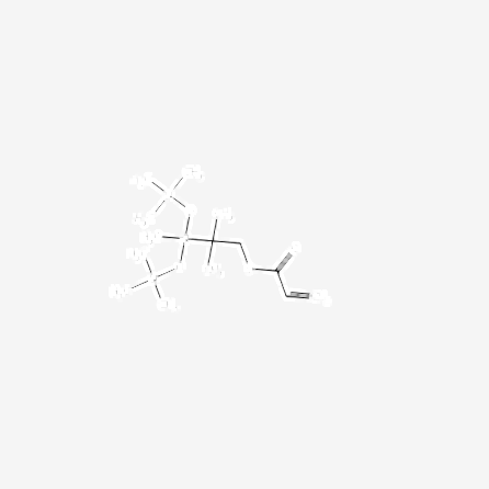 C=CC(=O)OCC(C)(C)[Si](C)(O[Si](C)(C)C)O[Si](C)(C)C